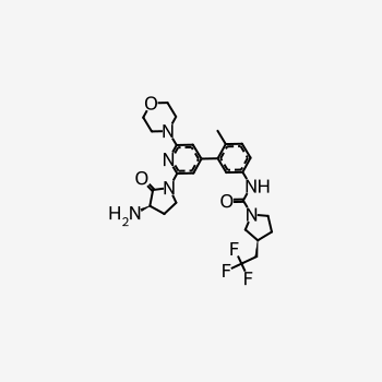 Cc1ccc(NC(=O)N2CC[C@@H](CC(F)(F)F)C2)cc1-c1cc(N2CCOCC2)nc(N2CC[C@@H](N)C2=O)c1